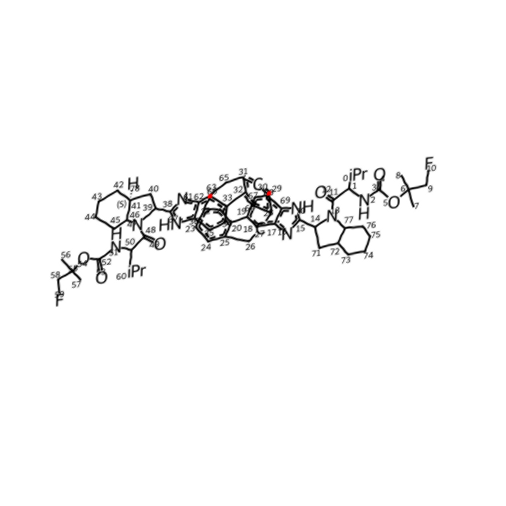 CC(C)C(NC(=O)OC(C)(C)CF)C(=O)N1C(c2nc3cc(-c4cc5ccc4CCc4ccc(c(-c6ccc7[nH]c(C8C[C@@H]9CCCCC9N8C(=O)C(NC(=O)OC(C)(C)CF)C(C)C)nc7c6)c4)CC5)ccc3[nH]2)CC2CCCCC21